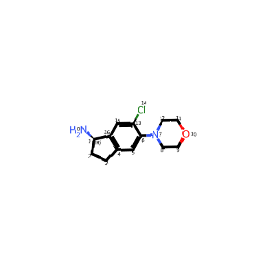 N[C@@H]1CCc2cc(N3CCOCC3)c(Cl)cc21